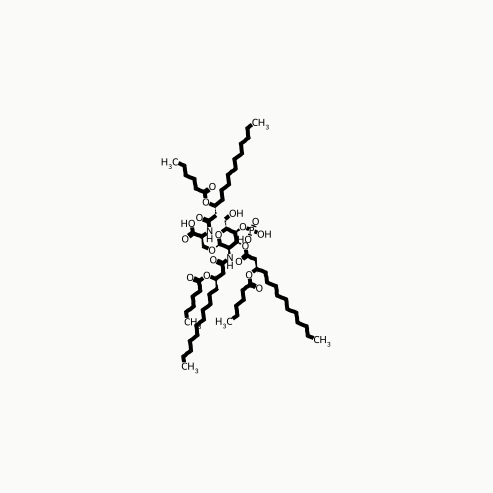 CCCCCCCCCCC[C@H](CC(=O)N[C@H]1[C@H](OC[C@H](NC(=O)C[C@@H](CCCCCCCCCCC)OC(=O)CCCCC)C(=O)O)O[C@H](CO)[C@@H](OP(=O)(O)O)[C@@H]1OC(=O)C[C@@H](CCCCCCCCCCC)OC(=O)CCCCC)OC(=O)CCCCC